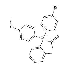 COc1ccc([C@@](C(C)=O)(c2ccc(Br)cc2)c2ccccc2C)cn1